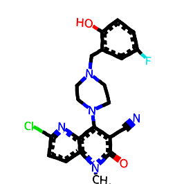 Cn1c(=O)c(C#N)c(N2CCN(Cc3cc(F)ccc3O)CC2)c2nc(Cl)ccc21